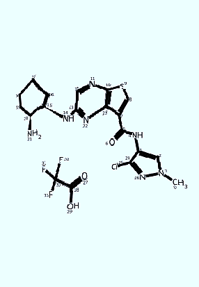 Cn1cc(NC(=O)c2csc3ncc(N[C@@H]4CCCC[C@@H]4N)nc23)c(Cl)n1.O=C(O)C(F)(F)F